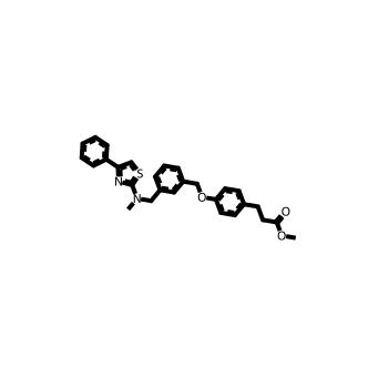 COC(=O)CCc1ccc(OCc2cccc(CN(C)c3nc(-c4ccccc4)cs3)c2)cc1